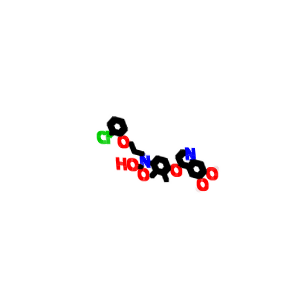 COc1cc2nccc(Oc3ccc(N(CCCOc4ccccc4Cl)C(=O)O)c(C)c3C)c2cc1OC